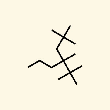 CCCC(C)(CC(C)(C)C)C(C)(C)C